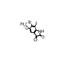 COc1cc2c(c(F)c1Br)NC(=O)C2=O